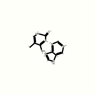 Cc1c[nH]c(=O)nc1N.c1ncc2[nH]cnc2n1